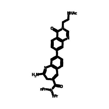 CCCN(CCC)C(=O)C1=Cc2ccc(-c3ccc4c(=O)n(CCNC(C)=O)cnc4c3)cc2N=C(N)C1